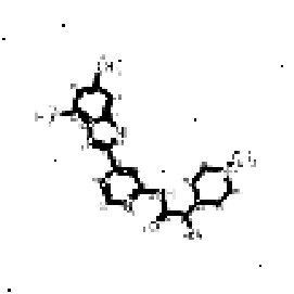 CCC(C(=O)Nc1cc(-c2nc3c(C)cc(C)cc3[nH]2)ccn1)C1CCN(C)CC1